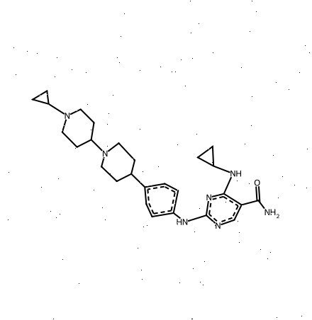 NC(=O)c1cnc(Nc2ccc(C3CCN(C4CCN(C5CC5)CC4)CC3)cc2)nc1NC1CC1